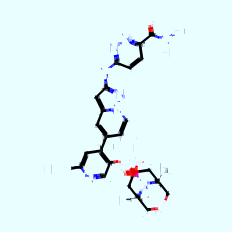 CCNC(=O)c1ccc(Nc2cc3cc(-c4cc(C)ncc4OC4C[C@H]5COC[C@@H](C4)N5C(=O)OC(C)(C)C)ccn3n2)nn1